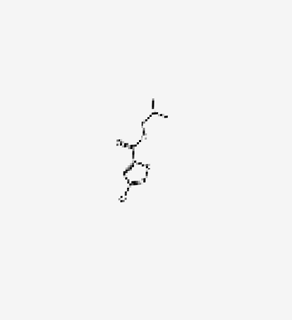 CC(C)COC(=O)c1cc([O])cs1